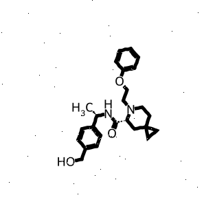 C[C@H](NC(=O)[C@H]1CC2(CCN1CCOc1ccccc1)CC2)c1ccc(CO)cc1